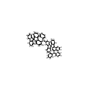 c1ccc(N(c2ccc3c(c2)-c2ccccc2C32c3ccccc3-c3c2cc(N(c2ccccc2)c2ccccc2)c2ccccc32)c2cccc3c2-c2ccccc2C3(c2ccccc2)c2ccccc2)cc1